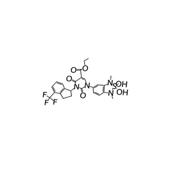 CCOC(=O)c1cn(-c2ccc3c(c2)N(C)S(O)(O)N3C)c(=O)n(C2CCc3c2cccc3C(F)(F)F)c1=O